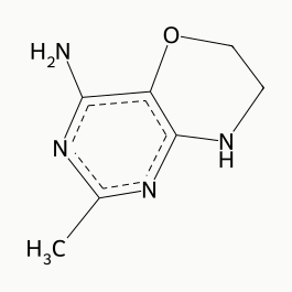 Cc1nc(N)c2c(n1)NCCO2